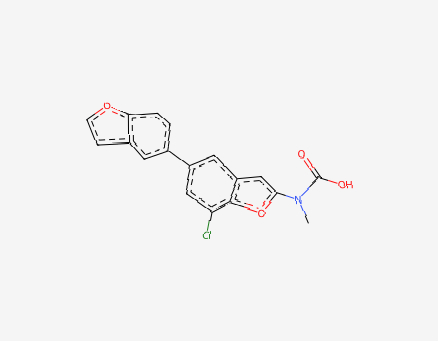 CN(C(=O)O)c1cc2cc(-c3ccc4occc4c3)cc(Cl)c2o1